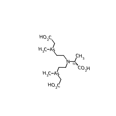 C[C@@H](C(=O)O)N(CC[As](C)CC(=O)O)CC[As](C)CC(=O)O